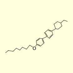 CCCCCCCCOc1ccc(-c2ccc(C3CCC(CC)CC3)cc2)cc1